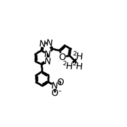 [2H]C([2H])([2H])c1ccc(-c2nnc3ccc(-c4cccc([N+](=O)[O-])c4)nn23)o1